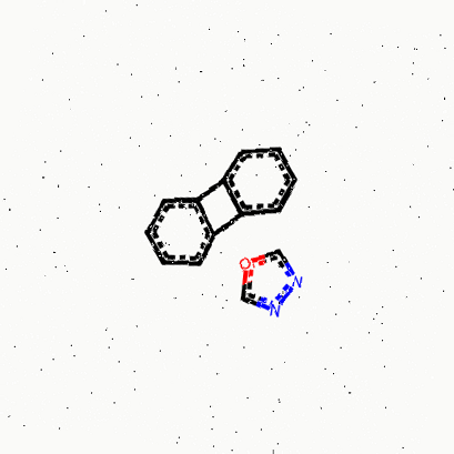 c1ccc2c(c1)-c1ccccc1-2.c1nnco1